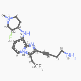 CN1CC[C@@H](Nc2cccn3c(CC(F)(F)F)c(C#CCCN)nc23)[C@@H](F)C1